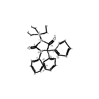 CC[Si](CC)(CC)N1C(=O)N(c2ccccc2)C(c2ccccc2)(c2ccccc2)C1=O